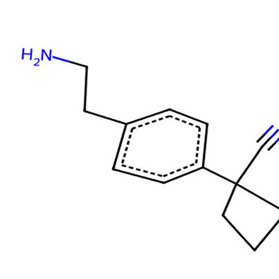 N#CC1(c2ccc(CCN)cc2)CCC1